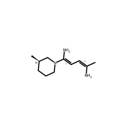 C/C(N)=C/C=C(\N)N1CCC[C@@H](C)C1